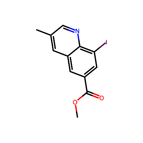 COC(=O)c1cc(I)c2ncc(C)cc2c1